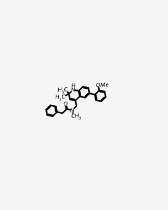 COc1ccccc1-c1ccc2c(c1)C(CN(C)C(=O)Cc1ccccc1)=CC(C)(C)N2